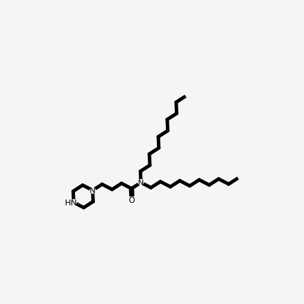 CCCCCCCCCCN(CCCCCCCCCC)C(=O)CCCN1CCNCC1